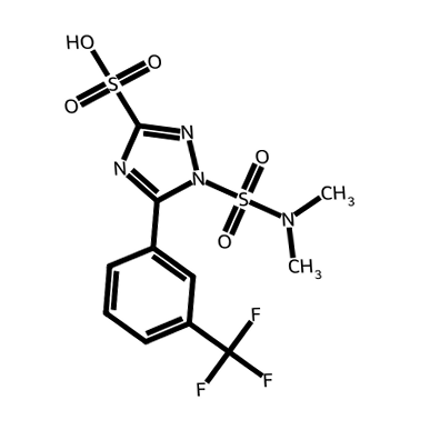 CN(C)S(=O)(=O)n1nc(S(=O)(=O)O)nc1-c1cccc(C(F)(F)F)c1